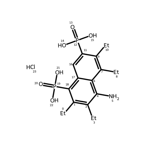 CCc1c(CC)c(N)c2c(CC)c(CC)c(P(=O)(O)O)cc2c1P(=O)(O)O.Cl